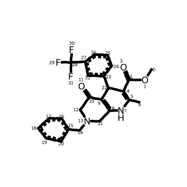 COC(=O)C1=C(C)NC2=C(C(=O)CN(Cc3ccccc3)C2)C1c1cccc(C(F)(F)F)c1